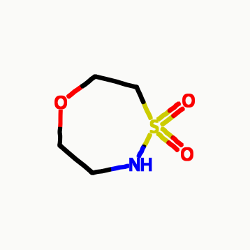 O=S1(=O)CCOCCN1